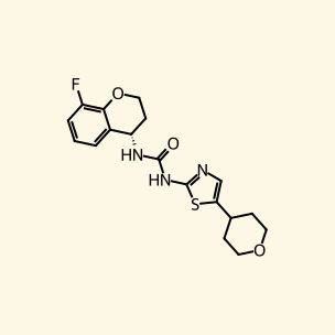 O=C(Nc1ncc(C2CCOCC2)s1)N[C@H]1CCOc2c(F)cccc21